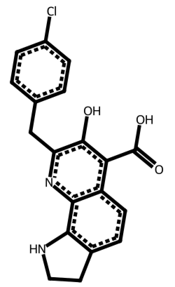 O=C(O)c1c(O)c(Cc2ccc(Cl)cc2)nc2c3c(ccc12)CCN3